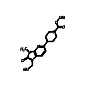 Cn1c(=O)n(CC(C)(C)C)c2ccc(C3CCN(C(=O)OC(C)(C)C)CC3)nc21